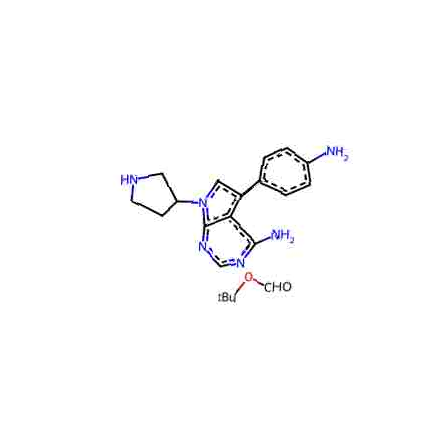 CC(C)(C)OC=O.Nc1ccc(-c2cn(C3CCNC3)c3ncnc(N)c23)cc1